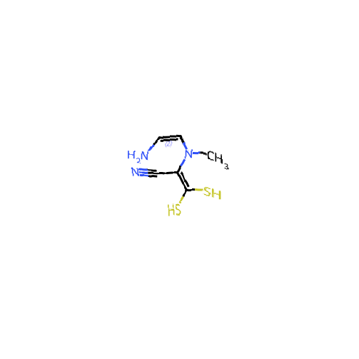 CN(/C=C\N)C(C#N)=C(S)S